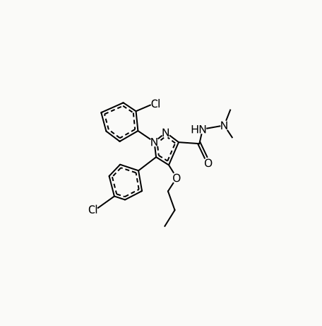 CCCOc1c(C(=O)NN(C)C)nn(-c2ccccc2Cl)c1-c1ccc(Cl)cc1